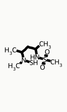 CC(CC(C)N(C)S)NS(C)(=O)=O